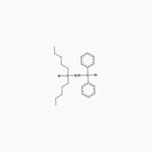 CCCC[CH2][Zr]([Br])([Br])[CH2]CCCC.[Br][Zr]([Br])([c]1ccccc1)[c]1ccccc1